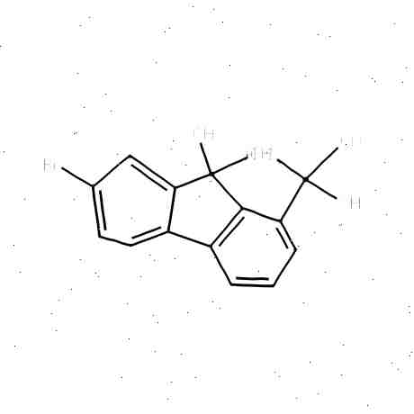 CC(C)(C)c1cccc2c1C(C)(C)c1cc(Br)ccc1-2